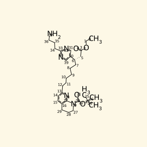 CCOC(=O)C[C@H](CCCCCCc1ccc2c(n1)N(C(=O)OC(C)(C)C)CCC2)c1cnc(CCCN)nc1